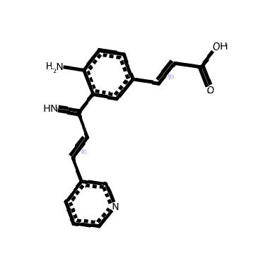 N=C(/C=C/c1cccnc1)c1cc(/C=C/C(=O)O)ccc1N